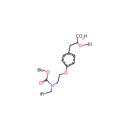 CCOC(Cc1ccc(OCCN(CC(C)C)C(=O)OC(C)CC)cc1)C(=O)O